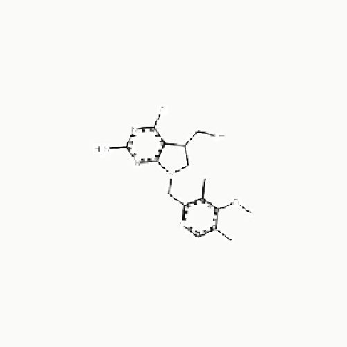 COc1c(C)cnc(CN2CC(CO)c3c(Cl)nc(N)nc32)c1C